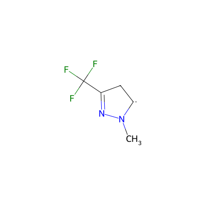 CN1[CH]CC(C(F)(F)F)=N1